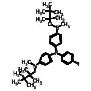 CB(OC(C)(C)C(C)(C)C)c1ccc(N(c2ccc(I)cc2)c2ccc(N(C)CC(C)(C)C(C)(C)C)cc2)cc1